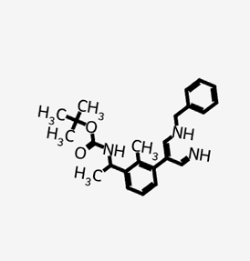 Cc1c(/C(C=N)=C/NCc2ccccc2)cccc1C(C)NC(=O)OC(C)(C)C